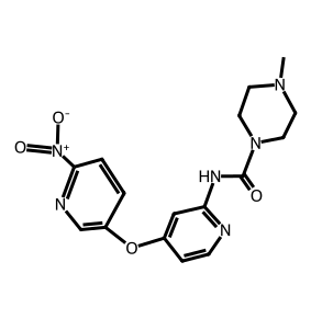 CN1CCN(C(=O)Nc2cc(Oc3ccc([N+](=O)[O-])nc3)ccn2)CC1